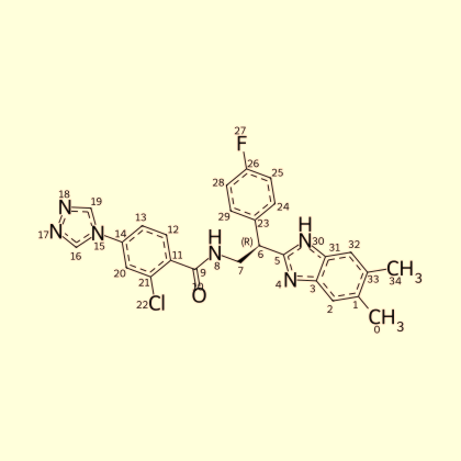 Cc1cc2nc([C@@H](CNC(=O)c3ccc(-n4cnnc4)cc3Cl)c3ccc(F)cc3)[nH]c2cc1C